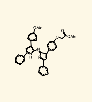 COC(=O)COc1ccc(C2=CC(c3ccccc3)=N/C2=N\c2[nH]c(-c3ccccc3)cc2-c2ccc(OC)cc2)cc1